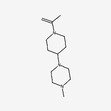 C=C(C)N1CCC(N2CCN(C)CC2)CC1